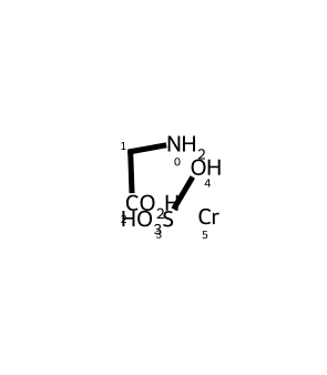 NCC(=O)O.O=S(=O)(O)O.[Cr]